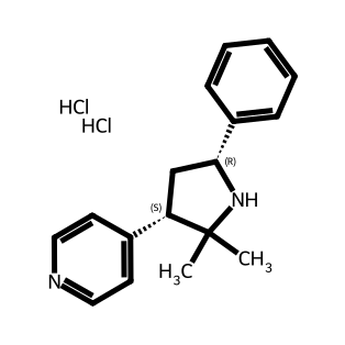 CC1(C)N[C@@H](c2ccccc2)C[C@H]1c1ccncc1.Cl.Cl